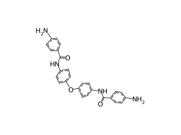 Nc1ccc(C(=O)Nc2ccc(Oc3ccc(NC(=O)c4ccc(N)cc4)cc3)cc2)cc1